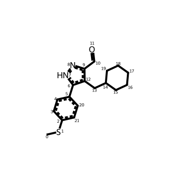 CSc1ccc(-c2[nH]nc(C=O)c2CC2CCCCC2)cc1